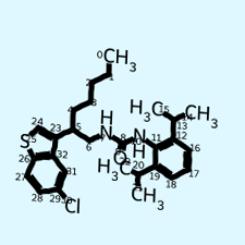 CCCCCC(CNC(=O)Nc1c(C(C)C)cccc1C(C)C)c1csc2ccc(Cl)cc12